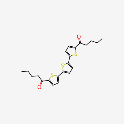 CCCCC(=O)c1ccc(-c2ccc(-c3ccc(C(=O)CCCC)s3)s2)s1